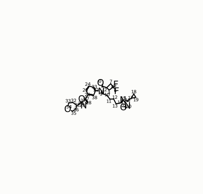 O=C(C1CC(F)(F)C1)N(CCCCCc1nc(C2CC2)no1)c1cccc(-c2cnc(C3CCOCC3)o2)c1